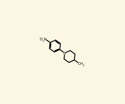 [CH2]C1CCN(c2ccc([N+](=O)[O-])cc2)CC1